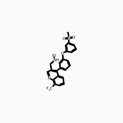 CCNCc1cnc2c(C(F)(F)F)cccc2c1-c1cccc(Oc2cccc(S(C)(=O)=O)c2)c1